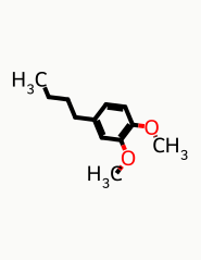 CCCCc1ccc(OC)c(OC)c1